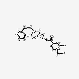 C=C\N=C(/C=C\N=C\C)C(=O)NCC(O)CN1CCc2ccccc2C1